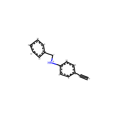 C#Cc1ccc(NCc2ccccc2)cc1